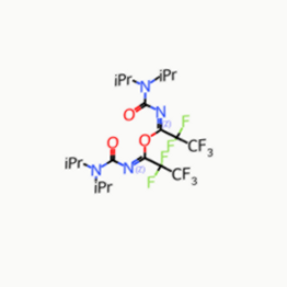 CC(C)N(C(=O)/N=C(\O/C(=N\C(=O)N(C(C)C)C(C)C)C(F)(F)C(F)(F)F)C(F)(F)C(F)(F)F)C(C)C